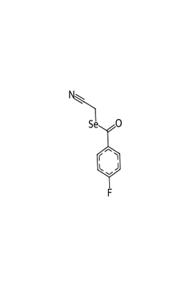 N#CC[Se]C(=O)c1ccc(F)cc1